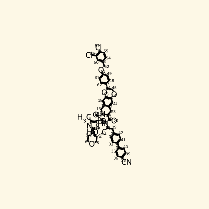 Cc1nc(N2CCOCC2)sc1S(=O)(=O)N1Cc2cc3c(cc2CC1C(=O)N[C@@H](Cc1ccc(-c2ccc(C#N)cc2)cc1)C(=O)O)OC[C@H](c1ccc(OCc2ccc(Cl)c(Cl)c2)cc1)O3